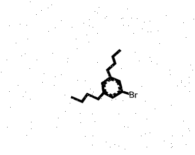 CCCCc1cc(Br)cc(CCCC)c1